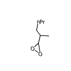 CCCCC(C)C1OO1